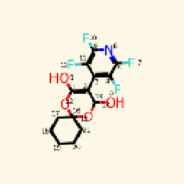 OC1=C(c2c(F)c(F)nc(F)c2F)C(O)OC2(CCCCC2)O1